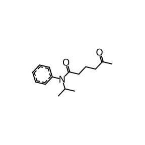 CC(=O)CCCC(=O)N(c1ccccc1)C(C)C